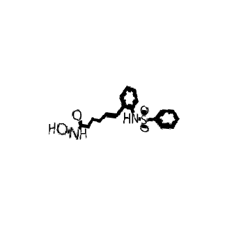 O=C(CCC/C=C/c1ccccc1NS(=O)(=O)c1ccccc1)NO